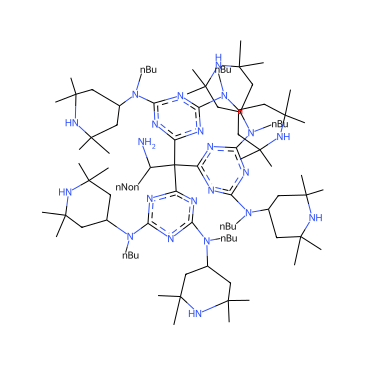 CCCCCCCCCC(N)C(c1nc(N(CCCC)C2CC(C)(C)NC(C)(C)C2)nc(N(CCCC)C2CC(C)(C)NC(C)(C)C2)n1)(c1nc(N(CCCC)C2CC(C)(C)NC(C)(C)C2)nc(N(CCCC)C2CC(C)(C)NC(C)(C)C2)n1)c1nc(N(CCCC)C2CC(C)(C)NC(C)(C)C2)nc(N(CCCC)C2CC(C)(C)NC(C)(C)C2)n1